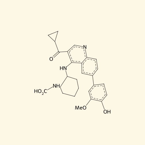 COc1cc(-c2ccc3ncc(C(=O)C4CC4)c(NC4CCCCC4NC(=O)O)c3c2)ccc1O